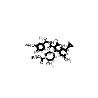 COc1cc([C@H](C)NC(=O)c2c(N3CC[C@H](C)N(C(=O)OC(C)(C)C)CC3)c3cc(C)nc(C4CC4)c3[nH]c2=O)ccc1F